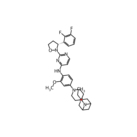 CCN1CC2CC(C1)N2C1CCN(c2ccc(Nc3ccnc(N4OCC[C@@H]4c4cccc(F)c4F)n3)c(OC)c2)CC1